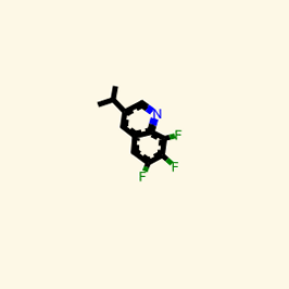 CC(C)c1cnc2c(F)c(F)c(F)cc2c1